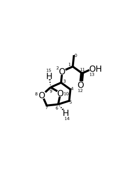 CC(OC1CC[C@H]2CO[C@@H]1O2)C(=O)O